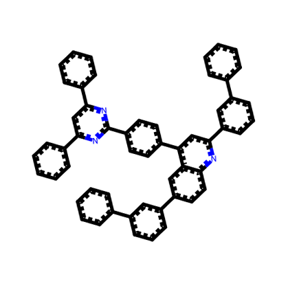 c1ccc(-c2cccc(-c3ccc4nc(-c5cccc(-c6ccccc6)c5)cc(-c5ccc(-c6nc(-c7ccccc7)cc(-c7ccccc7)n6)cc5)c4c3)c2)cc1